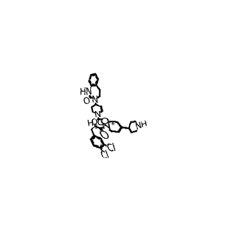 C[N+]1(C(=O)[C@@H](Cc2ccc(Cl)c(Cl)c2)OC(=O)N2CCC(N3CCc4ccccc4NC3=O)CC2)CCC(C2CCNCC2)CC1